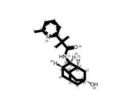 Cc1cccc(C(C)(C)C(=O)N[C@H]2[C@@H]3CC4C[C@H]2C[C@](O)(C4)C3)n1